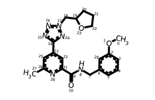 COc1cccc(CNC(=O)c2cc(-c3nnn(CC4CCCO4)n3)cc(C)n2)c1